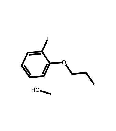 CCCOc1ccccc1I.CO